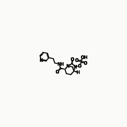 O=C(NCCc1cccnc1)[C@@H]1CC[C@@H]2CN1C(=O)N2OS(=O)(=O)O